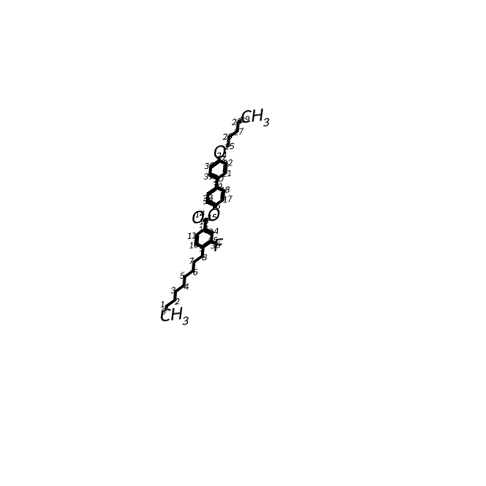 CCCCCCCCCc1ccc(C(=O)Oc2ccc(-c3ccc(OCCCCC)cc3)cc2)cc1F